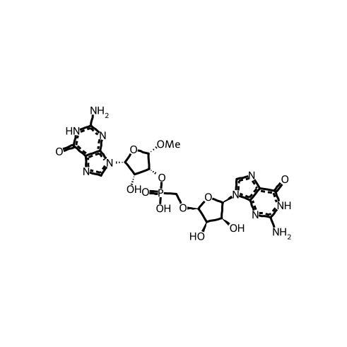 CO[C@H]1O[C@@H](n2cnc3c(=O)[nH]c(N)nc32)[C@@H](O)[C@H]1OP(=O)(O)CO[C@H]1O[C@@H](n2cnc3c(=O)[nH]c(N)nc32)[C@@H](O)[C@H]1O